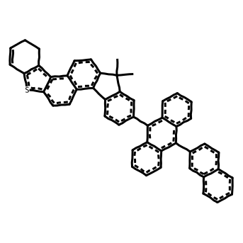 CC1(C)c2cc(-c3c4ccccc4c(-c4ccc5ccccc5c4)c4ccccc34)ccc2-c2c1ccc1c2ccc2sc3c(c21)CCC=C3